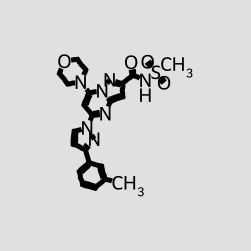 Cc1cccc(-c2ccn(-c3cc(N4CCOCC4)n4nc(C(=O)NS(C)(=O)=O)cc4n3)n2)c1